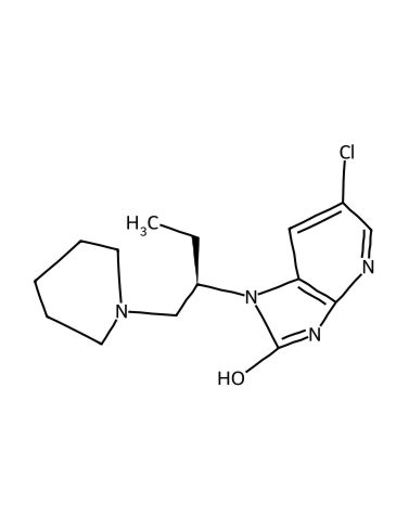 CC[C@H](CN1CCCCC1)n1c(O)nc2ncc(Cl)cc21